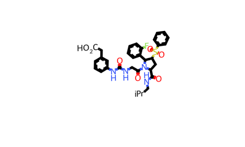 CC(C)CNC(=O)C1CC(S(=O)(=O)c2ccccc2)C(c2ccccc2F)N1C(=O)CNC(=O)Nc1cccc(CC(=O)O)c1